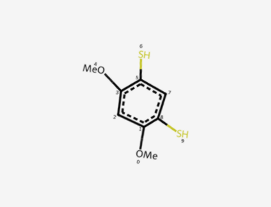 COc1cc(OC)c(S)cc1S